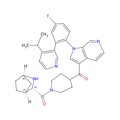 CC(C)c1ccncc1-c1cc(F)ccc1-n1cc(C(=O)C2CCN(C(=O)[C@H]3N[C@@H]4CC[C@H]3C4)CC2)c2ccncc21